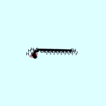 CC(C)=CCC/C(C)=C/CC/C(C)=C/CC/C(C)=C/CC/C(C)=C/CC/C(C)=C/CC/C(C)=C/CC/C(C)=C/CC/C(C)=C/CC/C(C)=C/CC/C(C)=C/CC1=C(C)C(=O)c2ccccc2C1=O